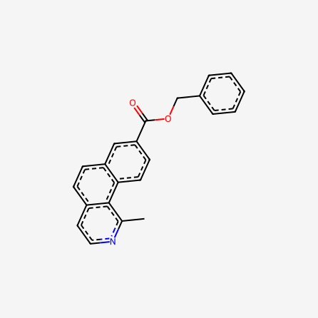 Cc1nccc2ccc3cc(C(=O)OCc4ccccc4)ccc3c12